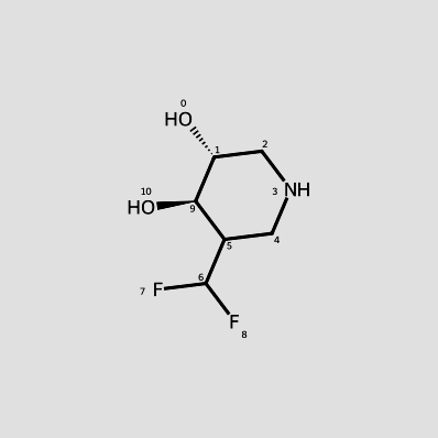 O[C@@H]1CNCC(C(F)F)[C@H]1O